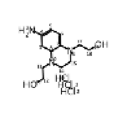 Cl.Cl.Cl.NC1=CC=C2C(C1)N(CCO)CCN2CCO